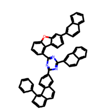 c1ccc(-c2cccc3ccc4cc(-c5nc(-c6ccc7ccccc7c6)nc(-c6cccc7oc8cc(-c9ccc%10ccccc%10c9)ccc8c67)n5)ccc4c23)cc1